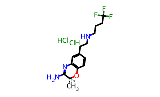 C[C@H]1Oc2ccc(CCNCCCC(F)(F)F)cc2N=C1N.Cl.Cl